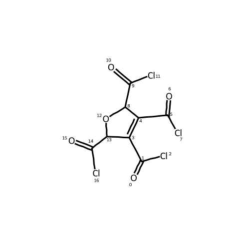 O=C(Cl)C1=C(C(=O)Cl)C(C(=O)Cl)OC1C(=O)Cl